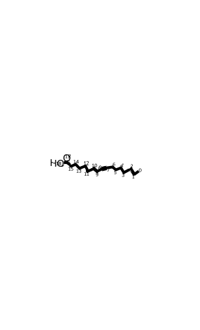 CCCCCCCC#CCCCCCCCC(=O)O